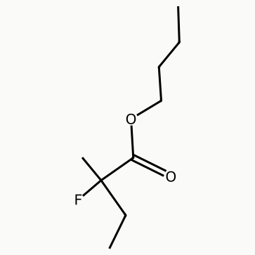 CCCCOC(=O)C(C)(F)CC